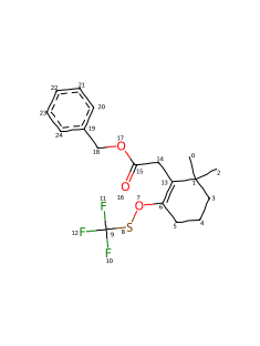 CC1(C)CCCC(OSC(F)(F)F)=C1CC(=O)OCc1ccccc1